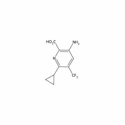 Nc1cc(C(F)(F)F)c(C2CC2)nc1C(=O)O